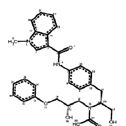 Cn1cc(C(=O)Nc2ccc(C[C@@H](CO)N(C[C@H](O)COc3ccccc3)C(=O)O)cc2)c2ccccc21